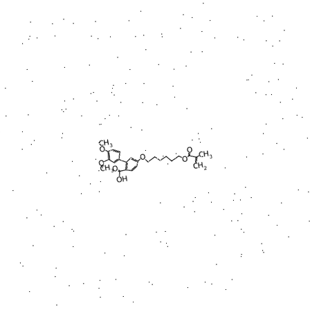 C=C(C)C(=O)OCCCCCCOc1ccc(C(=O)O)c(-c2ccc(OC)c(OC)c2)c1